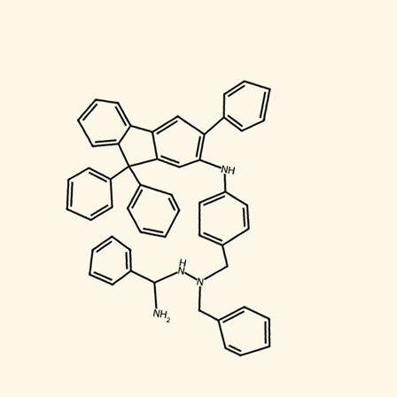 NC(NN(Cc1ccccc1)Cc1ccc(Nc2cc3c(cc2-c2ccccc2)-c2ccccc2C3(c2ccccc2)c2ccccc2)cc1)c1ccccc1